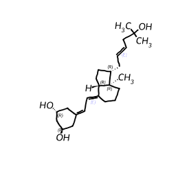 CC(C)(O)C/C=C/C[C@H]1CC[C@H]2/C(=C/C=C3C[C@@H](O)C[C@H](O)C3)CCC[C@]12C